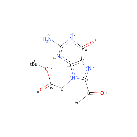 CC(C)C(=O)c1nc2c(=O)[nH]c(N)nc2n1CC(=O)OC(C)(C)C